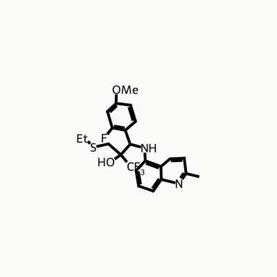 CCSCC(O)(C(Nc1cccc2nc(C)ccc12)c1ccc(OC)cc1F)C(F)(F)F